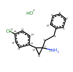 Cl.NC1(CCc2ccccc2)CC1c1ccc(Cl)cc1